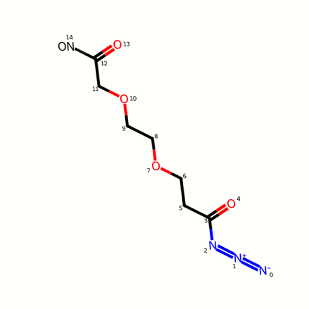 [N-]=[N+]=NC(=O)CCOCCOCC(=O)N=O